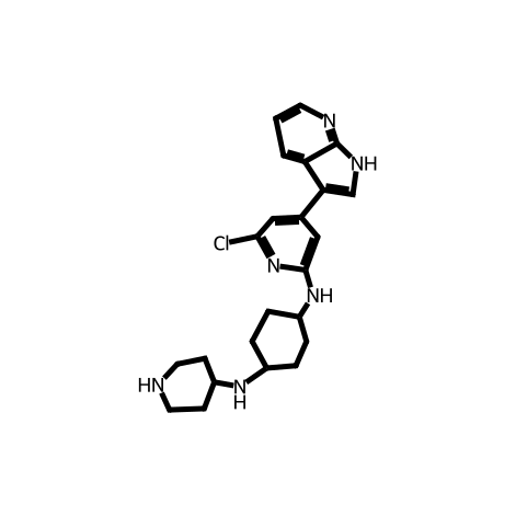 Clc1cc(-c2c[nH]c3ncccc23)cc(NC2CCC(NC3CCNCC3)CC2)n1